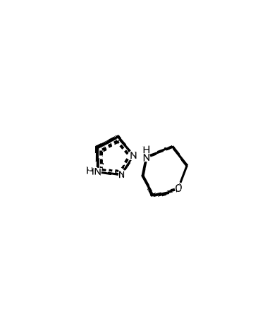 C1COCCN1.c1c[nH]nn1